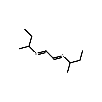 CCC(C)N=CC=NC(C)CC